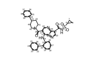 O=C(NS(=O)(=O)C1CC1)c1cnn2c(Nc3ccccc3-c3ccccc3)c(C(=O)N3CCC(c4ccccc4)CC3)cnc12